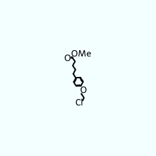 COC(=O)CCCCc1ccc(OCCCl)cc1